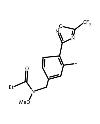 CCC(=O)N(Cc1ccc(-c2noc(C(F)(F)F)n2)c(F)c1)OC